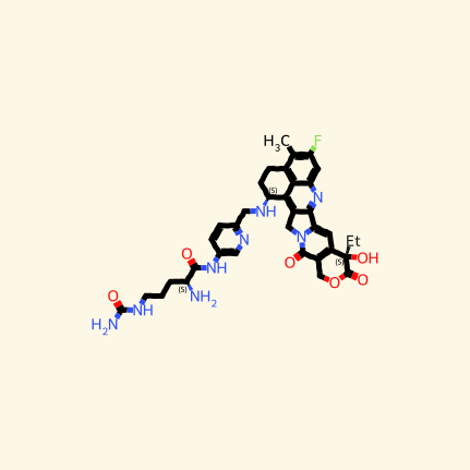 CC[C@@]1(O)C(=O)OCc2c1cc1n(c2=O)Cc2c-1nc1cc(F)c(C)c3c1c2[C@@H](NCc1ccc(NC(=O)[C@@H](N)CCCNC(N)=O)cn1)CC3